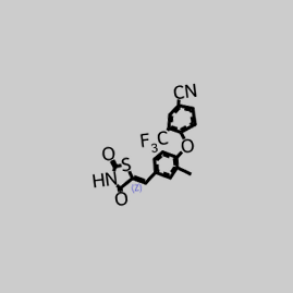 Cc1cc(/C=C2\SC(=O)NC2=O)ccc1Oc1ccc(C#N)cc1C(F)(F)F